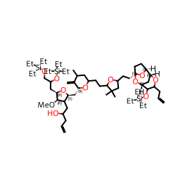 C=CCC(O)CC1[C@H](C[C@H]2OC(CCC3OC(CC[C@]45CC[C@H](O4)[C@H]4C[C@@H](O5)C(O[Si](CC)(CC)CC)C(CC=C)O4)CC3(C)C)CC(C)C2=C)O[C@H](CC(CO[Si](CC)(CC)CC)O[Si](CC)(CC)CC)[C@@H]1OC